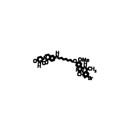 COc1cc2c(N[C@H](C)c3cccc(Br)c3)nc(C)nc2cc1OCCCCCCCNc1ccc2c(c1)CCN(C1CCC(=O)NC1=O)C2=O